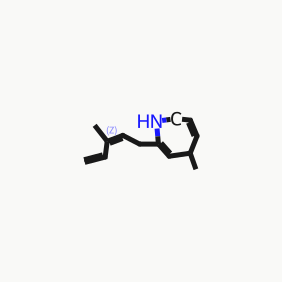 C=C/C(C)=C\CC1=CC(C)C=CCN1